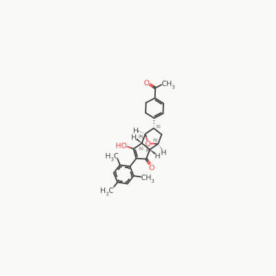 CC(=O)C1=CC=C([C@@H]2C[C@@H]3O[C@H]2[C@H]2C(O)=C(c4c(C)cc(C)cc4C)C(=O)[C@H]23)CC1